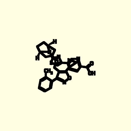 Cc1ccccc1-c1noc(C2CC2)c1CO[C@H]1C[C@H]2CC[C@@H](C1)N2c1nc(-c2ccc(C(=O)O)nc2)cs1